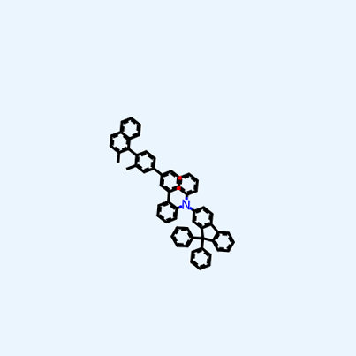 Cc1cc(-c2cccc(-c3ccccc3N(c3ccccc3)c3ccc4c(c3)C(c3ccccc3)(c3ccccc3)c3ccccc3-4)c2)ccc1-c1c(C)ccc2ccccc12